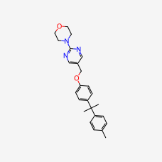 Cc1ccc(C(C)(C)c2ccc(OCc3cnc(N4CCOCC4)nc3)cc2)cc1